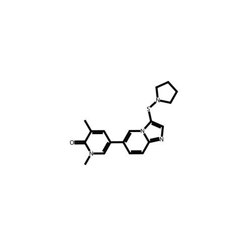 Cc1cc(-c2ccc3ncc(SN4CCCC4)n3c2)cn(C)c1=O